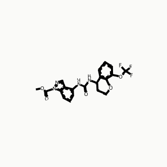 COC(=O)n1ncc2c(NC(=O)NC3CCOc4c(OC(F)(F)F)cccc43)cccc21